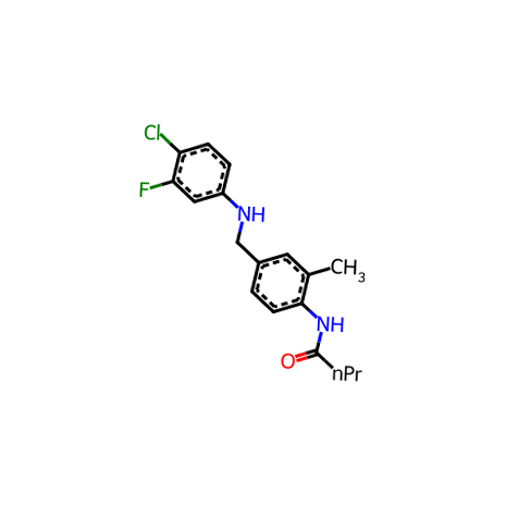 CCCC(=O)Nc1ccc(CNc2ccc(Cl)c(F)c2)cc1C